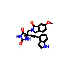 COc1ccc2c(c1)C(=O)N(C[C@@]1(C#Cc3cccc4[nH]ccc34)NC(=O)NC1=O)C2